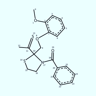 COc1ccccc1OCC1(C(C)=S)SCCN1C(=O)c1ccccc1